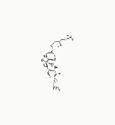 CCCC1CCC(C2=COC(C(F)(F)Oc3ccc(OCC)c(F)c3F)CC2)CC1